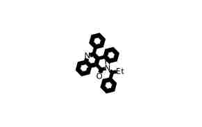 CCC(NC(=O)c1c(-c2ccccc2)c(-c2ccccc2)nc2ccccc12)c1ccccc1